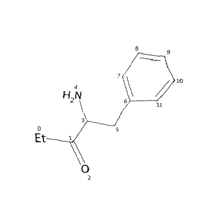 CCC(=O)C(N)Cc1ccccc1